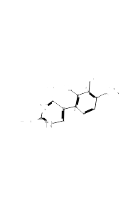 N#Cc1ccc(-c2cnc(C(F)(F)F)nc2)c(C=O)c1F